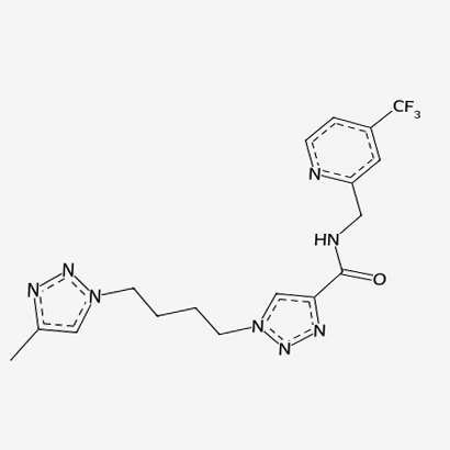 Cc1cn(CCCCn2cc(C(=O)NCc3cc(C(F)(F)F)ccn3)nn2)nn1